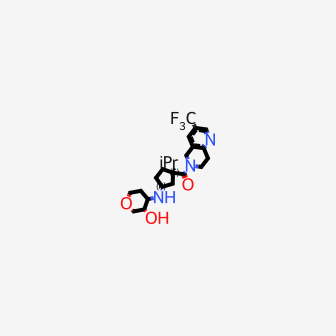 CC(C)[C@]1(C(=O)N2CCc3ncc(C(F)(F)F)cc3C2)CC[C@@H](NC2CCOCC2O)C1